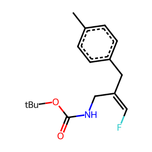 Cc1ccc(CC(=CF)CNC(=O)OC(C)(C)C)cc1